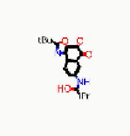 CC(C)C(O)Nc1ccc2c(c1)C(=O)C(=O)c1oc(C(C)(C)C)nc1-2